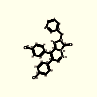 O=c1n(Cc2cccnc2)nc2c(-c3ccc(Cl)cc3)c(-c3ccc(Cl)cc3)cnn12